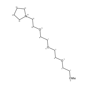 COCCOCCOCCOCCN1CCCC1